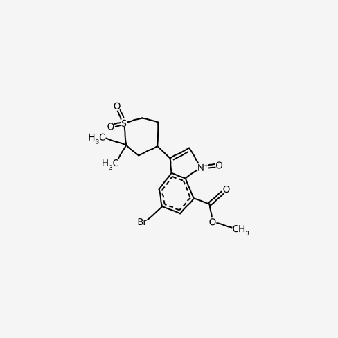 COC(=O)c1cc(Br)cc2c1[N+](=O)C=C2C1CCS(=O)(=O)C(C)(C)C1